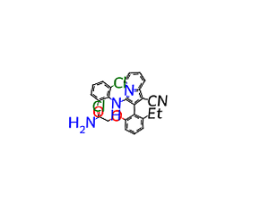 CCc1cccc(OCC(N)=O)c1-c1c(C#N)c2ccccn2c1Nc1c(Cl)cccc1Cl